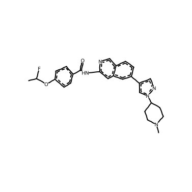 CC(F)Oc1ccc(C(=O)Nc2cc3cc(-c4cnn(C5CCN(C)CC5)c4)ccc3cn2)cc1